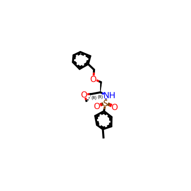 Cc1ccc(S(=O)(=O)N[C@H](COCc2ccccc2)[C@@H]2CO2)cc1